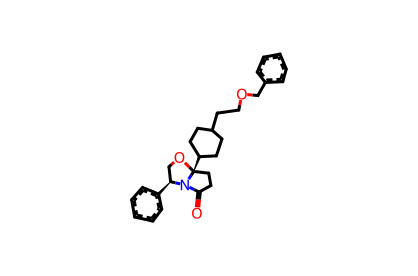 O=C1CC[C@@]2(C3CCC(CCOCc4ccccc4)CC3)OC[C@H](c3ccccc3)N12